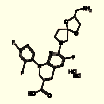 Cl.Cl.NCC1COC2(CCN(c3nc4c(cc3F)C=C(C(=O)O)CN4c3ccc(F)cc3F)C2)O1